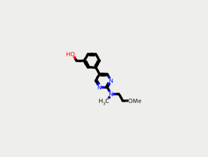 COCCN(C)c1ncc(-c2cccc(CO)c2)cn1